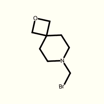 BrCN1CCC2(CC1)COC2